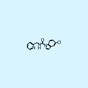 O=C(NCc1ccccn1)n1ccc2cc(Cl)ccc21